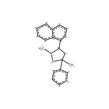 CN1OC(C)(c2cccnc2)CC1c1cccc2ccccc12